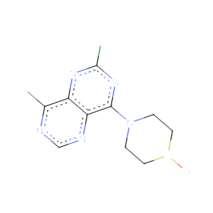 [O-][S+]1CCN(c2nc(Cl)nc3c(Cl)ncnc23)CC1